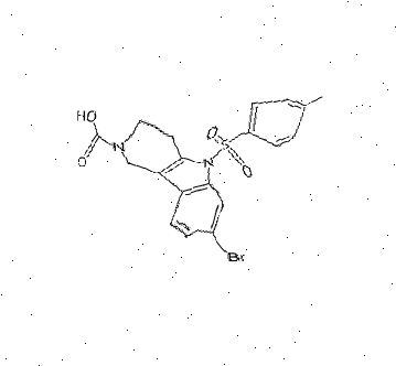 Cc1ccc(S(=O)(=O)n2c3c(c4ccc(Br)cc42)CN(C(=O)O)CC3)cc1